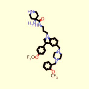 NC1(C(=O)NCCCn2cc(-c3ccc(OC(F)(F)F)cc3)c3cc(CN4CCN(Cc5ccccc5OC(F)(F)F)CC4)ccc32)CCNCC1